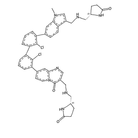 Cn1cc(CNC[C@@H]2CCC(=O)N2)c2ccc(-c3cccc(-c4cccc(-c5ccn6c(=O)c(CNC[C@@H]7CCC(=O)N7)cnc6c5)c4Cl)c3Cl)cc21